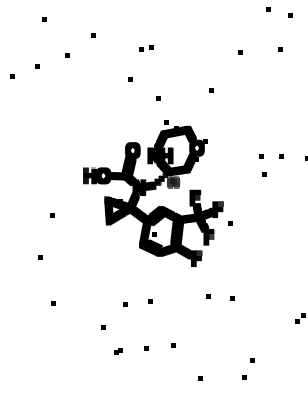 O=C(O)N(C[C@H]1COCCN1)C1(c2ccc(F)c(C(F)(F)F)c2)CC1